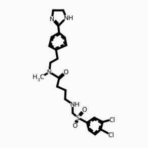 CN(CCc1ccc(C2=NCCN2)cc1)C(=O)CCCNCS(=O)(=O)c1ccc(Cl)c(Cl)c1